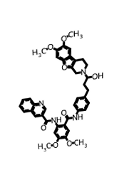 COc1cc(NC(=O)c2cnc3ccccc3c2)c(C(=O)Nc2ccc(CCC(O)N3CCc4c(oc5cc(OC)c(OC)cc45)C3)cc2)cc1OC